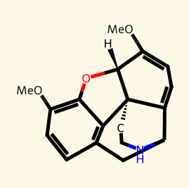 COC1=CC=C2C3Cc4ccc(OC)c5c4[C@@]2(CCN3)[C@@H]1O5